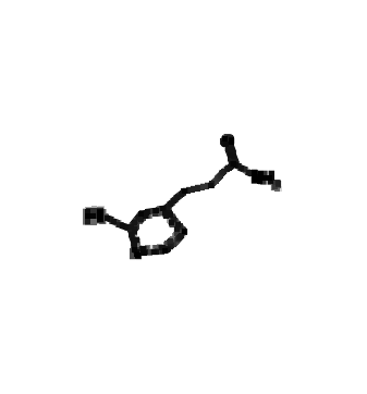 CCc1cc(CCC(N)=O)ccn1